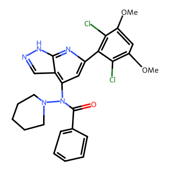 COc1cc(OC)c(Cl)c(-c2cc(N(C(=O)c3ccccc3)N3CCCCC3)c3cn[nH]c3n2)c1Cl